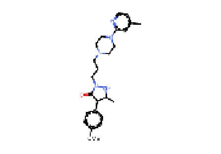 COc1ccc(C2C(=O)N(CCCN3CCN(c4cc(C)ccn4)CC3)NC2C)cc1